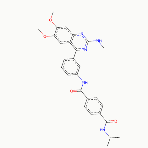 CNc1nc(-c2cccc(NC(=O)c3ccc(C(=O)NC(C)C)cc3)c2)c2cc(OC)c(OC)cc2n1